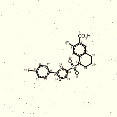 O=C(O)c1cc2c(cc1F)N(S(=O)(=O)c1csc(-c3ccc(F)cc3)n1)CCC2